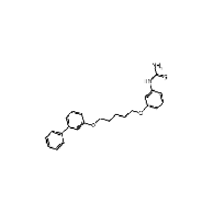 NC(=S)Nc1cccc(OCCCCCOc2cccc(-c3ccccc3)c2)c1